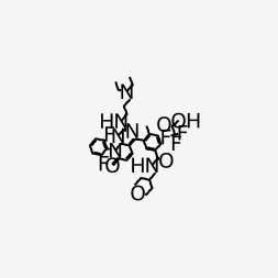 CCN(CC)CCCNc1nc(-c2cc(C(=O)NCC3CCOCC3)ccc2C)c2ccc(=O)n(-c3c(F)cccc3F)c2n1.O=C(O)C(F)(F)F